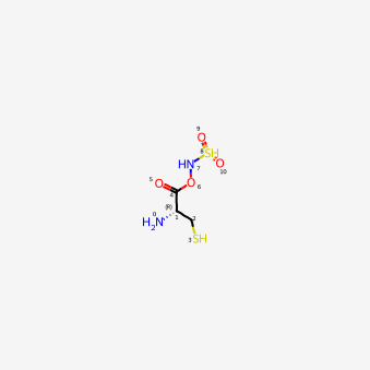 N[C@@H](CS)C(=O)ON[SH](=O)=O